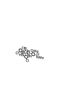 CNC(=O)c1ccc(-c2nc3c(n2C(C)C)[C@]2(C(=O)Nc4cc(Cl)ccc42)N(c2cc(Cl)ccc2C)C3=O)c(OC)c1